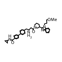 COCCCn1c(C2CCCN(C(=O)CC(N)Cc3ccc(-c4ccc(C(=O)NC5CC5)cc4)cc3)C2)nc2ccccc21